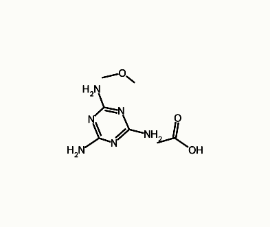 CC(=O)O.COC.Nc1nc(N)nc(N)n1